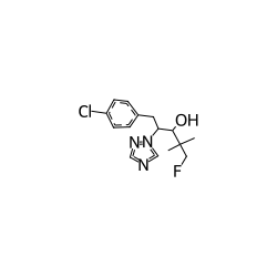 CC(C)(CF)C(O)C(Cc1ccc(Cl)cc1)n1cncn1